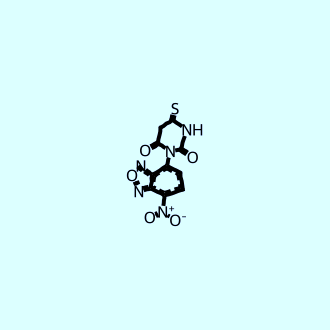 O=C1CC(=S)NC(=O)N1c1ccc([N+](=O)[O-])c2nonc12